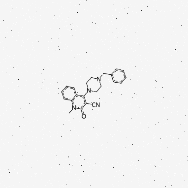 Cn1c(=O)c(C#N)c(N2CCN(Cc3ccccc3)CC2)c2ccccc21